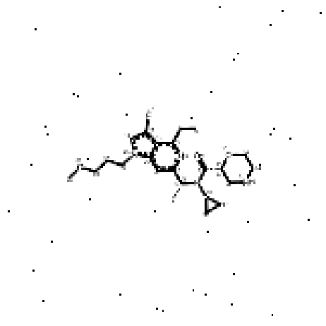 CCc1nc([C@@H](C)N(C(=O)[C@H]2CNCCO2)C2CC2)cc2c1c(F)cn2CCCOC